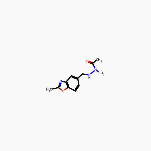 CC(=O)N(C)NCc1ccc2oc(C)nc2c1